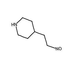 O=NCCC1CCNCC1